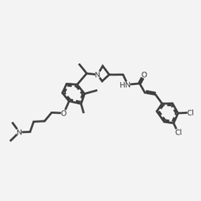 Cc1c(OCCCCN(C)C)ccc(C(C)N2CC(CNC(=O)C=Cc3ccc(Cl)c(Cl)c3)C2)c1C